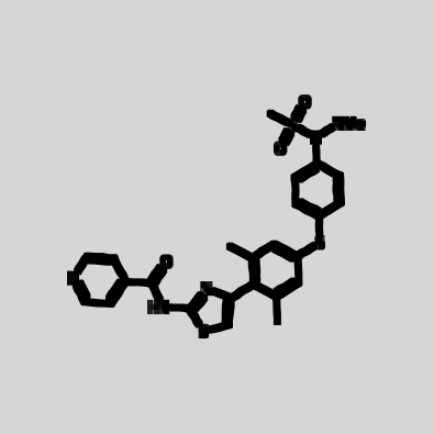 CNN(c1ccc(Sc2cc(C)c(-c3csc(NC(=O)c4ccncc4)n3)c(C)c2)cc1)S(C)(=O)=O